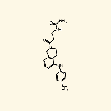 NC(=O)NCCC(=O)N1CCc2c(cccc2Nc2ccc(C(F)(F)F)cc2)C1